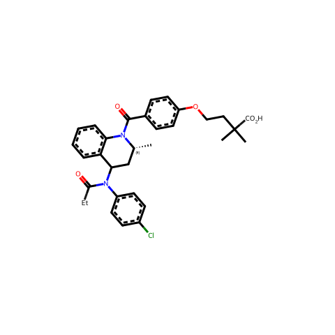 CCC(=O)N(c1ccc(Cl)cc1)C1C[C@@H](C)N(C(=O)c2ccc(OCCC(C)(C)C(=O)O)cc2)c2ccccc21